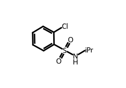 CC(C)NS(=O)(=O)c1ccccc1Cl